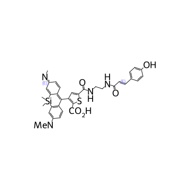 C/N=C1\C=CC2=C(c3cc(C(=O)NCCNC(=O)/C=C/c4ccc(O)cc4)sc3C(=O)O)c3ccc(NC)cc3[Si](C)(C)C2=C1